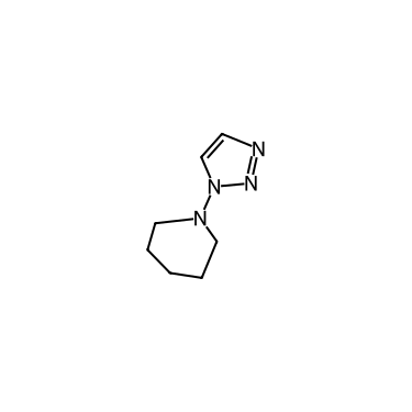 c1cn(N2CCCCC2)nn1